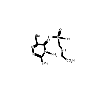 CSc1nnc(C(C)(C)C)c(=O)n1N.O=C(O)CNCP(=O)(O)O